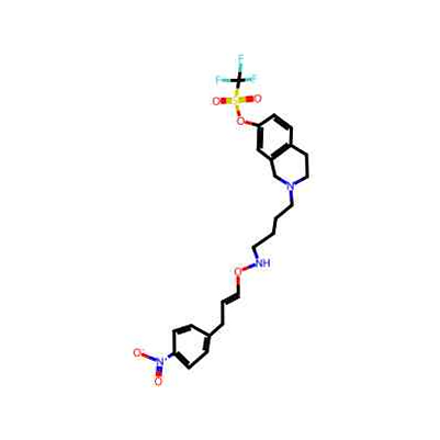 O=[N+]([O-])c1ccc(CC=CONCCCCN2CCc3ccc(OS(=O)(=O)C(F)(F)F)cc3C2)cc1